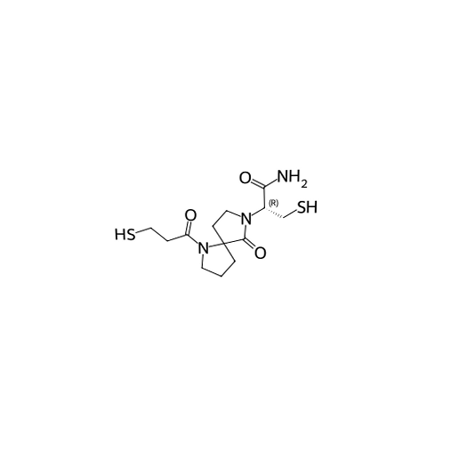 NC(=O)[C@H](CS)N1CCC2(CCCN2C(=O)CCS)C1=O